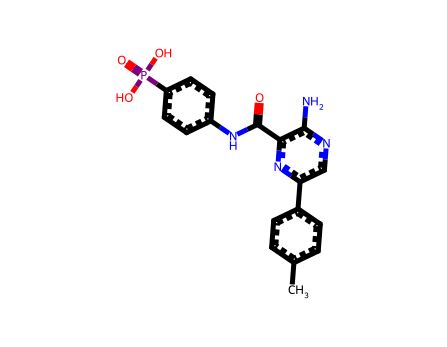 Cc1ccc(-c2cnc(N)c(C(=O)Nc3ccc(P(=O)(O)O)cc3)n2)cc1